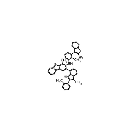 Cc1ccccc1-c1[nH]c2c(-c3cc4c(sc5ccccc54)c(C)c3Bc3cccc(C4=C(C(C)C)Cc5ccccc54)c3C)cccc2c1C